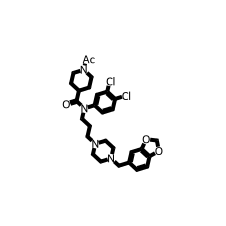 CC(=O)N1CCC(C(=O)N(CCCN2CCN(Cc3ccc4c(c3)OCO4)CC2)c2ccc(Cl)c(Cl)c2)CC1